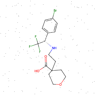 O=C(O)C1(CCN[C@@H](c2ccc(Br)cc2)C(F)(F)F)CCOCC1